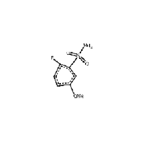 COc1ccc(F)c(S(N)(=O)=O)c1